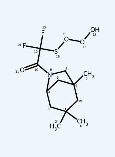 CC1(C)CC2CC(C)(CN2C(=O)C(F)(F)SOOO)C1